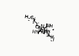 C/C=C/CON(N=C(N)NOCCCl)C(=N)N